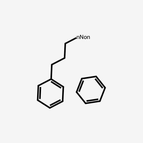 CCCCCCCCCCCCc1ccccc1.c1ccccc1